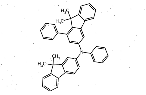 CC1(C)c2ccccc2-c2ccc(N(c3ccccc3)c3cc(-c4ccccc4)c4c(c3)-c3ccccc3C4(C)C)cc21